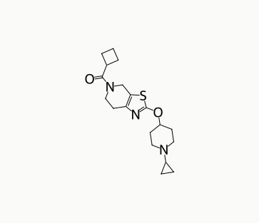 O=C(C1CCC1)N1CCc2nc(OC3CCN(C4CC4)CC3)sc2C1